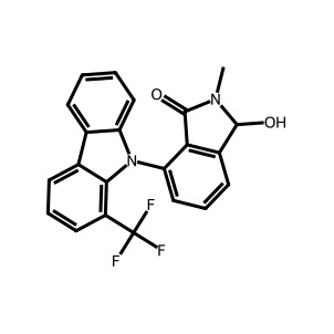 CN1C(=O)c2c(cccc2-n2c3ccccc3c3cccc(C(F)(F)F)c32)C1O